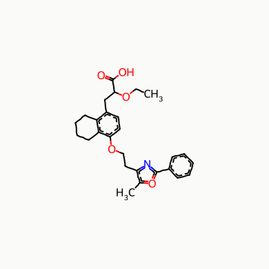 CCOC(Cc1ccc(OCCc2nc(-c3ccccc3)oc2C)c2c1CCCC2)C(=O)O